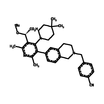 Cc1nc(C)c([C@H](OC(C)(C)C)C(=O)O)c(N2CCC(C)(C)CC2)c1-c1ccc2c(c1)CCN(Cc1ccc(C#N)cc1)C2